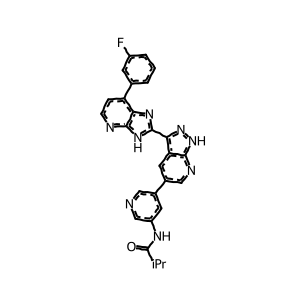 CC(C)C(=O)Nc1cncc(-c2cnc3[nH]nc(-c4nc5c(-c6cccc(F)c6)ccnc5[nH]4)c3c2)c1